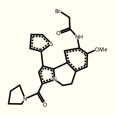 COc1cc2c(cc1NC(=O)CBr)-c1c(-c3cccs3)cc(C(=O)N3CCCC3)n1CC2